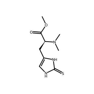 COC(=O)[C@H](Cc1c[nH]c(=S)[nH]1)N(C)C